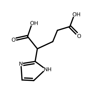 O=C(O)CCC(C(=O)O)c1ncc[nH]1